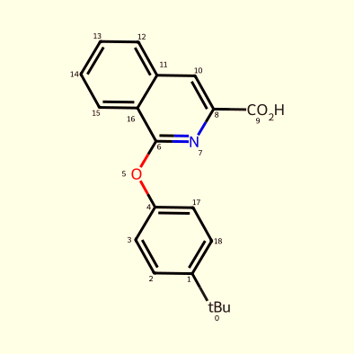 CC(C)(C)c1ccc(Oc2nc(C(=O)O)cc3ccccc23)cc1